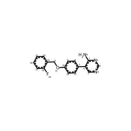 Nc1ncncc1-c1ccc(OCc2ccccc2F)cc1